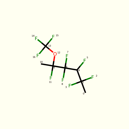 CC(F)(F)C(F)C(F)(F)C(C)(F)OC(F)(F)F